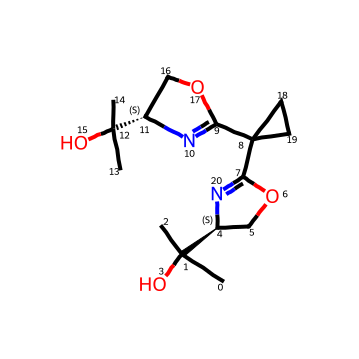 CC(C)(O)[C@@H]1COC(C2(C3=N[C@H](C(C)(C)O)CO3)CC2)=N1